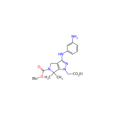 CCOC(=O)Cn1nc(Nc2cccc(N)c2)c2c1C(C)(C)N(C(=O)OC(C)(C)C)C2